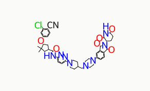 CC1(C)CC(C(=O)Nc2ccc(N3CCC(CN4CCN(c5ccc6c(c5)C(=O)N(C5CCC(=O)NC5=O)C6=O)CC4)CC3)nn2)CC1Oc1ccc(C#N)c(Cl)c1